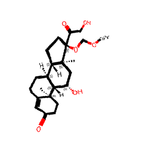 CCCOCO[C@]1(C(=O)CO)CC[C@H]2[C@@H]3CCC4=CC(=O)CC[C@]4(C)[C@H]3[C@@H](O)C[C@@]21C